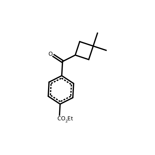 CCOC(=O)c1ccc(C(=O)C2CC(C)(C)C2)cc1